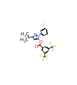 CC(C)c1cc(OC(=O)c2cc(C(F)(F)F)cc(C(F)(F)F)c2)n(-c2cccc(F)c2)n1